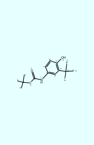 CC(C)(C)OC(=O)Nc1ccc(O)c(C(F)(F)F)c1